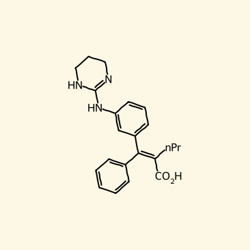 CCCC(C(=O)O)=C(c1ccccc1)c1cccc(NC2=NCCCN2)c1